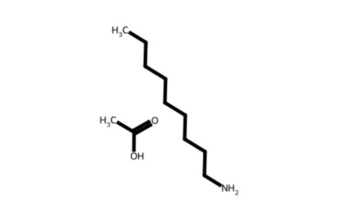 CC(=O)O.CCCCCCCCCN